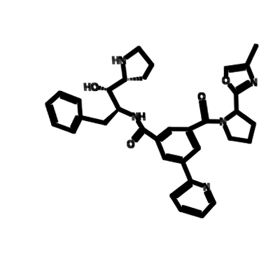 Cc1coc(C2CCCN2C(=O)c2cc(C(=O)N[C@@H](Cc3ccccc3)[C@H](O)[C@H]3CCCN3)cc(-c3ccccn3)c2)n1